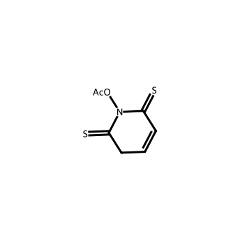 CC(=O)ON1C(=S)C=CCC1=S